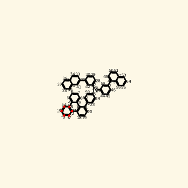 c1ccc(-c2ccccc2-c2c(-c3ccccc3)cccc2-c2ccc(N(c3cccc(-c4ccc5ccccc5c4)c3)c3cccc(-c4cccc5ccccc45)c3)cc2)cc1